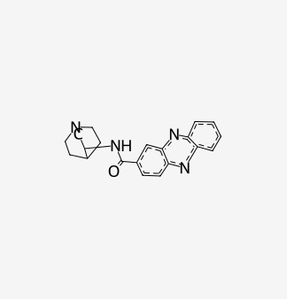 O=C(NC1CN2CCC1CC2)c1ccc2nc3ccccc3nc2c1